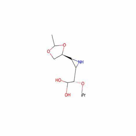 CC(C)O[C@H](C(O)O)C1NC1[C@H]1COC(C)O1